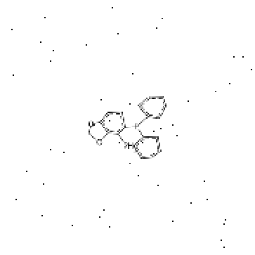 Pc1c(P(c2ccccc2)c2ccccc2)ccc2c1OCO2